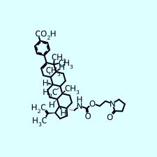 C=C(C)[C@@H]1CC[C@]2(CNC(=O)OCCN3CCCC3=O)CC[C@]3(C)[C@H](CC[C@@H]4[C@@]5(C)CC=C(c6ccc(C(=O)O)cc6)C(C)(C)[C@@H]5CC[C@]43C)[C@@H]12